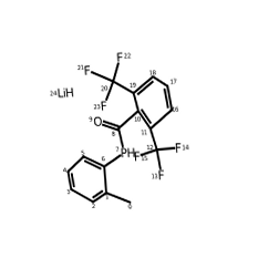 Cc1ccccc1PC(=O)c1c(C(F)(F)F)cccc1C(F)(F)F.[LiH]